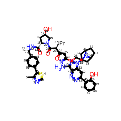 Cc1ncsc1-c1ccc([C@H](C)NC(=O)[C@@H]2C[C@@H](O)CN2C(=O)[C@H](c2cc(OCCN3C4CCC3CC(n3nc(N)c5nnc(-c6ccccc6O)cc53)C4)no2)C(C)C)cc1